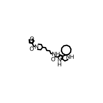 O=C(NCCCCC1CCN(C(=O)c2ccoc2)CC1)c1cc2c([nH]1)CCNC21CCCCCCCCC1